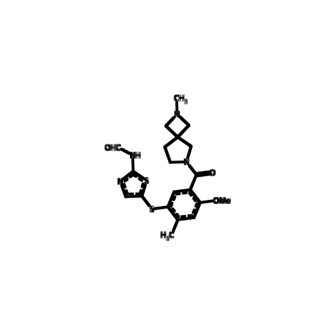 COc1cc(C)c(Sc2cnc(NC=O)s2)cc1C(=O)N1CCC2(CN(C)C2)C1